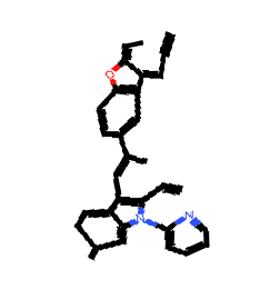 C#C/C=c1\c(=C/C)oc2ccc(/C(C)=C/c3c(C=C)n(-c4ccccn4)c4c3=CCC(C)C=4)cc12